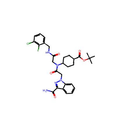 CC(C)(C)OC(=O)C1CCC(N(CC(=O)NCc2cccc(Cl)c2F)C(=O)Cn2nc(C(N)=O)c3ccccc32)CC1